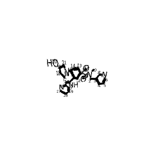 CN(Cc1cccnc1)S(=O)(=O)c1ccc(N2CC[C@H](O)C2)c(-c2cc3ncccc3[nH]2)c1